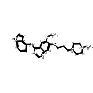 COc1cc2c(Nc3cccc4occc34)ncnc2cc1OCCCN1CCN(C)CC1